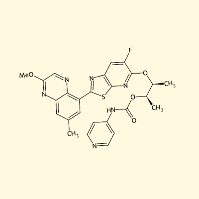 COc1cnc2c(-c3nc4cc(F)c(O[C@@H](C)[C@@H](C)OC(=O)Nc5ccncc5)nc4s3)cc(C)cc2n1